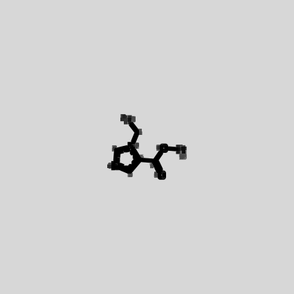 [2H]Cn1cncc1C(=O)OCC